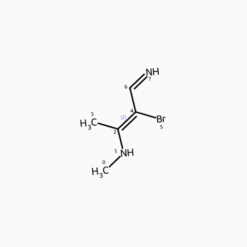 CN/C(C)=C(\Br)C=N